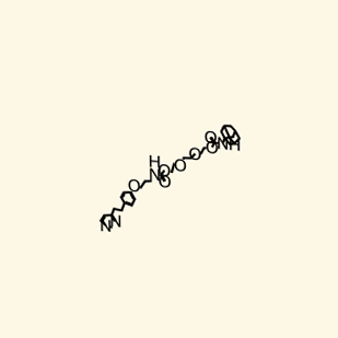 O=C(NCCCOc1ccc(CCc2ccncn2)cc1)OCCOCCOCCOC(=O)NC12CC3CC(CC(C3)C1)C2